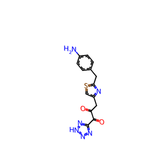 Nc1ccc(Cc2nc(CC(=O)C(=O)c3nn[nH]n3)cs2)cc1